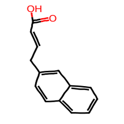 O=C(O)C=CCc1ccc2ccccc2c1